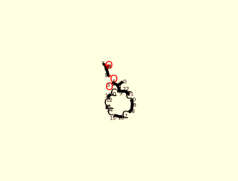 CC(C(=O)OCC1CO1)C1CCCCCCCCCCCCC1